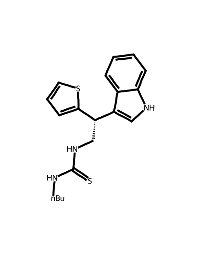 CCCCNC(=S)NC[C@H](c1cccs1)c1c[nH]c2ccccc12